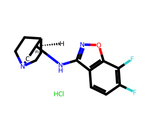 Cl.Fc1ccc2c(N[C@H]3CN4CCC3CC4)noc2c1F